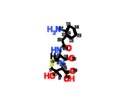 CC1(O)CS[C@@H]2C(NC(=O)Cc3ccccc3N)C(=O)N2C1C(=O)O